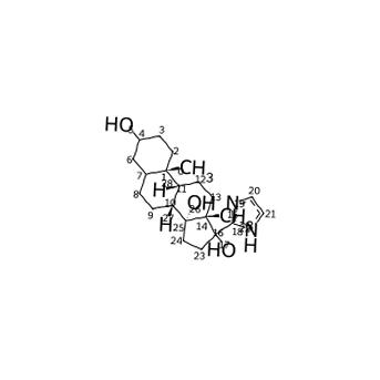 C[C@]12CCC(O)CC1CC[C@@H]1[C@H]2CC[C@]2(C)C(O)(c3ncc[nH]3)CC[C@@]12O